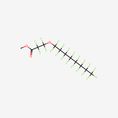 COC(=O)C(F)(F)C(F)(F)OC(F)(F)C(F)(F)C(F)(F)C(F)(F)C(F)(F)C(F)(F)C(F)(F)C(F)(F)F